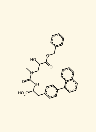 CN(CC(O)C(=O)OCc1ccccc1)C(=O)N[C@@H](Cc1ccc(-c2cccc3ccccc23)cc1)C(=O)O